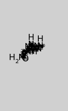 CC(C)Nc1ncc(C#N)c(-c2c[nH]c3ncc(Nc4cccc(C(N)=O)c4)cc23)n1